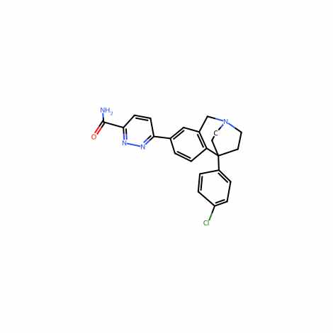 NC(=O)c1ccc(-c2ccc3c(c2)CN2CCC3(c3ccc(Cl)cc3)CC2)nn1